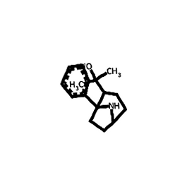 CC(C)(O)C1CCC2CCC1(c1ccccc1)N2